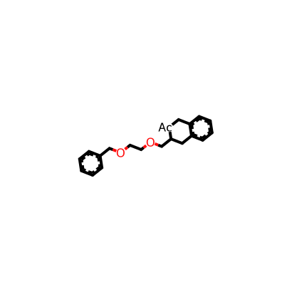 c1ccc(COCCOC[CH]2Cc3ccccc3[CH2][Ac]2)cc1